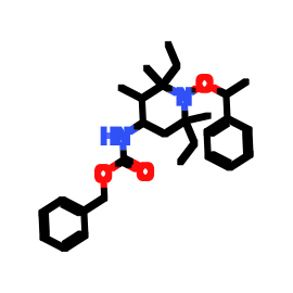 CCC1(C)CC(NC(=O)OCc2ccccc2)C(C)C(C)(CC)N1OC(C)c1ccccc1